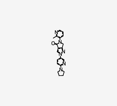 Cc1ncccc1N1Cc2nn(-c3ccc(N4CCCC4)nc3)cc2C1=O